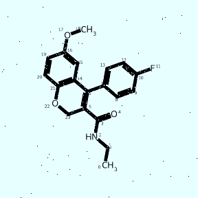 CCNC(=O)C1=C(c2ccc(F)cc2)c2cc(OC)ccc2OC1